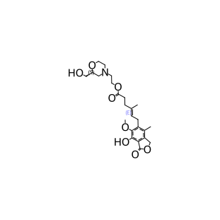 COc1c(O)c2c(c(C)c1C/C=C(\C)CCC(=O)OCCN1CCO[C@H](CO)C1)COC2=O